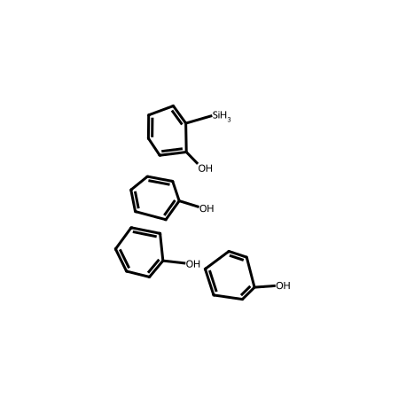 Oc1ccccc1.Oc1ccccc1.Oc1ccccc1.Oc1ccccc1[SiH3]